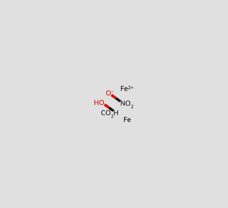 O=C(O)O.O=[N+]([O-])[O-].[Fe+2].[Fe]